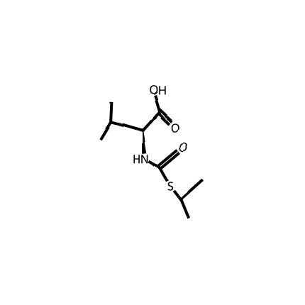 CC(C)SC(=O)N[C@H](C(=O)O)C(C)C